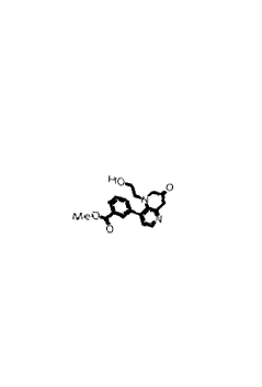 COC(=O)c1cccc(-c2ccnc3c2N(CCO)CC(=O)C3)c1